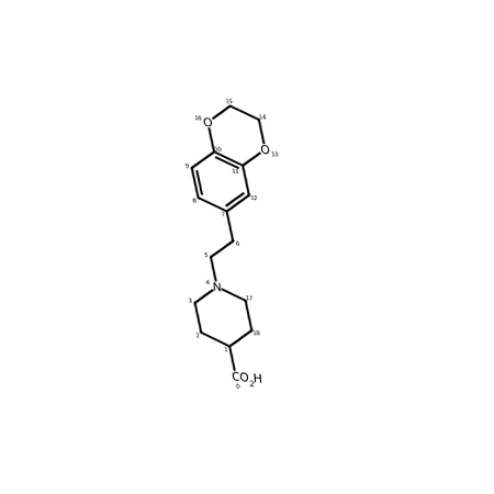 O=C(O)C1CCN(CCc2ccc3c(c2)OCCO3)CC1